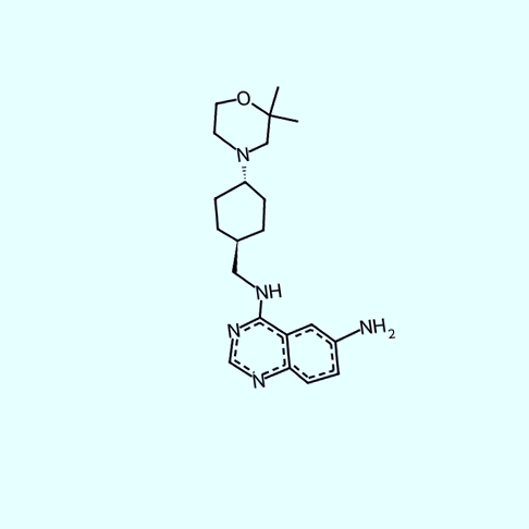 CC1(C)CN([C@H]2CC[C@H](CNc3ncnc4ccc(N)cc34)CC2)CCO1